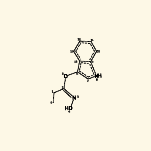 CCC(=NO)Oc1c[nH]c2ccccc12